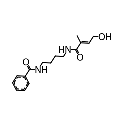 C/C(=C\CO)C(=O)NCCCCNC(=O)c1ccccc1